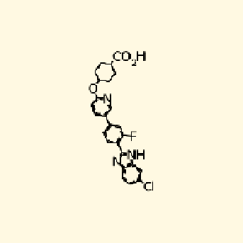 O=C(O)C1CCC(Oc2ccc(-c3ccc(-c4nc5ccc(Cl)cc5[nH]4)c(F)c3)cn2)CC1